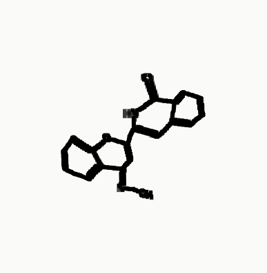 O=c1[nH]c(-c2c/c(=N\O)c3ccccc3o2)cc2ccccc12